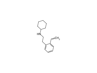 C=Cc1ccccc1CCNC1CCCCC1